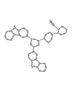 N#Cc1ccccc1-c1ccc(-c2cc(-c3ccc4sc5ccccc5c4c3)cc(-c3ccc4sc5ccccc5c4c3)c2)cc1